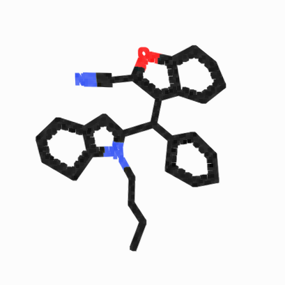 CCCCn1c(C(c2ccccc2)c2c(C#N)oc3ccccc23)cc2ccccc21